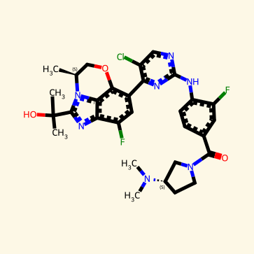 C[C@H]1COc2c(-c3nc(Nc4ccc(C(=O)N5CC[C@H](N(C)C)C5)cc4F)ncc3Cl)cc(F)c3nc(C(C)(C)O)n1c23